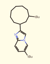 CC(C)(C)c1ccc2nc(C3CCCCCCC(C(C)(C)C)C3)cn2c1